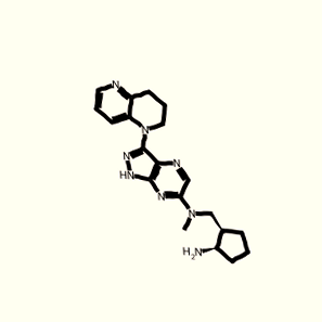 CN(C[C@H]1CCC[C@H]1N)c1cnc2c(N3CCCc4ncccc43)n[nH]c2n1